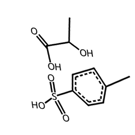 CC(O)C(=O)O.Cc1ccc(S(=O)(=O)O)cc1